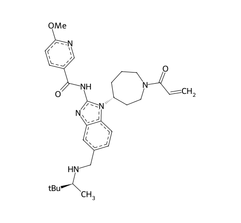 C=CC(=O)N1CCC[C@@H](n2c(NC(=O)c3ccc(OC)nc3)nc3cc(CN[C@@H](C)C(C)(C)C)ccc32)CC1